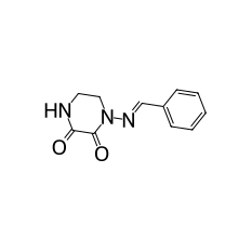 O=C1NCCN(/N=C/c2ccccc2)C1=O